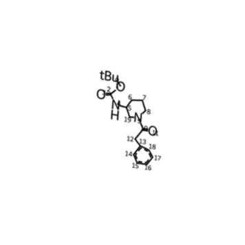 CC(C)(C)OC(=O)NC1CCCN(C(=O)Cc2ccccc2)C1